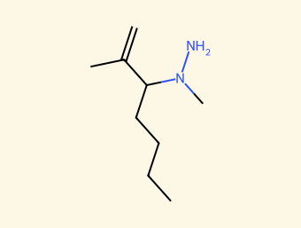 C=C(C)C(CCCC)N(C)N